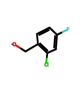 [O]Cc1ccc(F)cc1Cl